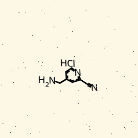 Cl.N#Cc1cc(CN)ccn1